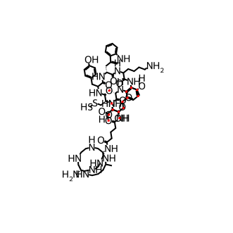 CC1CCCN[C@]2(N)CNCCNC[C@@](NC(=O)CCCC(=O)NC(CCc3ccccc3)C(=O)N[C@@H](CSS)C(=O)NC(Cc3ccc(O)cc3)C(=O)N[C@H](Cc3c[nH]c4ccccc34)C(=O)NC(CCCCN)C(=O)NC(C(=O)N[C@@H](C)C(=O)NC(C(=O)O)C(C)O)C(C)O)(CNCCNC2)N1